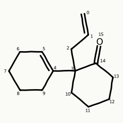 C=CCC1(C2=CCCCC2)CCCCC1=O